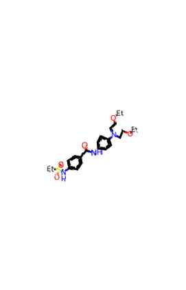 CCOCCN(CCOCC)c1ccc(NC(=O)c2ccc(NS(=O)(=O)CC)cc2)cc1